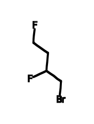 FCCC(F)CBr